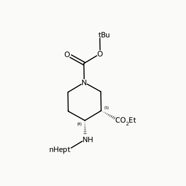 CCCCCCCN[C@@H]1CCN(C(=O)OC(C)(C)C)C[C@@H]1C(=O)OCC